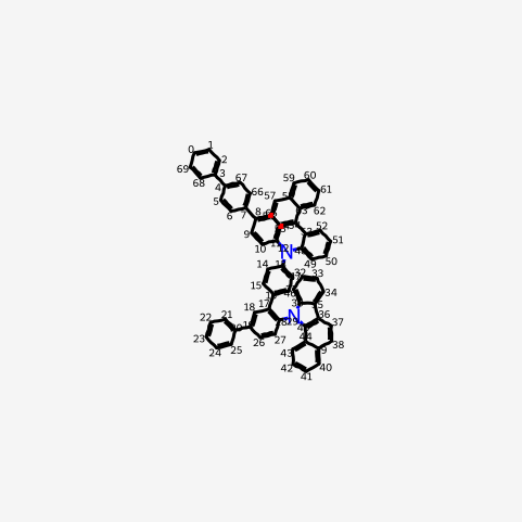 c1ccc(-c2ccc(-c3ccc(N(c4ccc(-c5cc(-c6ccccc6)ccc5-n5c6ccccc6c6ccc7ccccc7c65)cc4)c4ccccc4-c4cccc5ccccc45)cc3)cc2)cc1